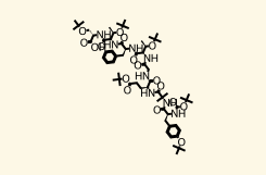 C[C@@H](OC(C)(C)C)[C@H](NC(=O)CNC(=O)[C@H](CCC(=O)OC(C)(C)C)NC(=O)C(C)(C)NC(=O)[C@H](Cc1ccc(OC(C)(C)C)cc1)NC(=O)OC(C)(C)C)C(=O)N[C@@H](Cc1ccccc1)C(=O)N[C@H](C(=O)N[C@@H](COC(C)(C)C)C(=O)O)[C@@H](C)OC(C)(C)C